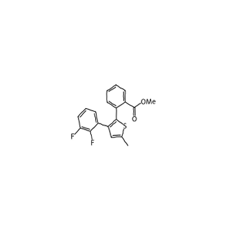 COC(=O)c1ccccc1-c1sc(C)cc1-c1cccc(F)c1F